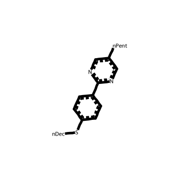 CCCCCCCCCCSc1ccc(-c2ncc(CCCCC)cn2)cc1